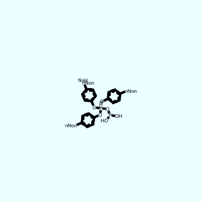 CCCCCCCCCc1ccc(O[PH](Oc2ccc(CCCCCCCCC)cc2)(Oc2ccc(CCCCCCCCC)cc2)OP(O)O)cc1.[NaH]